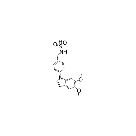 COc1cc2ccn(-c3ccc(CN[SH](=O)=O)cc3)c2cc1OC